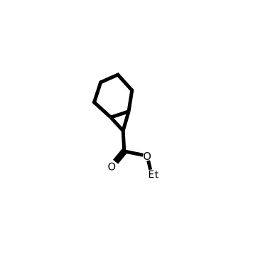 CCOC(=O)C1C2CCCCC21